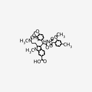 COc1cc(C)ccc1S(=O)(=O)NC(=O)C(c1ccc2c(c1)OCO2)c1c(CCN(C)C)n(C)c2cc(C(=O)O)ccc12